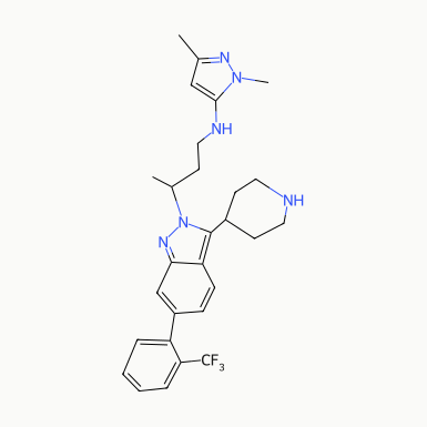 Cc1cc(NCCC(C)n2nc3cc(-c4ccccc4C(F)(F)F)ccc3c2C2CCNCC2)n(C)n1